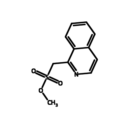 COS(=O)(=O)Cc1nccc2ccccc12